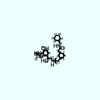 CC(C)(Cc1cccc(CC(=O)NCC2CCCCC2)c1)NC[C@@H](O)c1ccc(O)c(NS(C)(=O)=O)c1